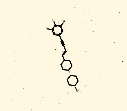 CCCC[C@H]1CC[C@H](C2CCC(/C=C/C#Cc3cc(F)c(F)c(F)c3)CC2)CC1